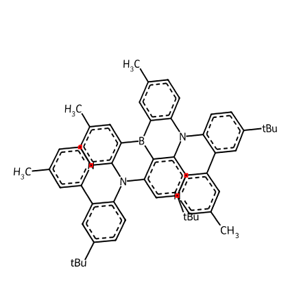 Cc1cncc(-c2cc(C(C)(C)C)ccc2N2c3ccc(C)cc3B3c4cc(C)ccc4N(c4ccc(C(C)(C)C)cc4-c4cc(C)ccn4)c4cc(C(C)(C)C)cc2c43)c1